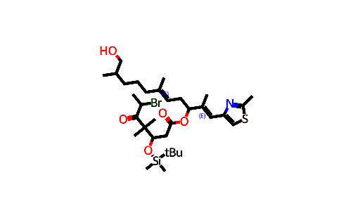 C/C(=C\CC(OC(=O)CC(O[Si](C)(C)C(C)(C)C)C(C)(C)C(=O)C(C)Br)/C(C)=C/c1csc(C)n1)CCCC(C)CO